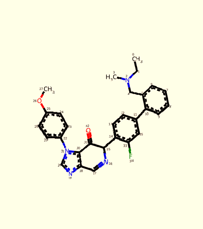 CCN(C)Cc1ccccc1-c1ccc(C2N=Cc3ncn(-c4ccc(OC)cc4)c3C2=O)c(F)c1